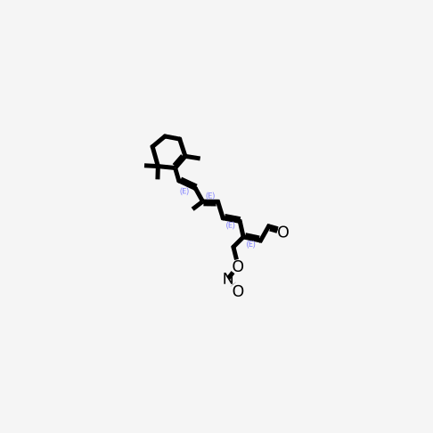 CC1=C(/C=C/C(C)=C/C=C/C(=C\C=O)CON=O)C(C)(C)CCC1